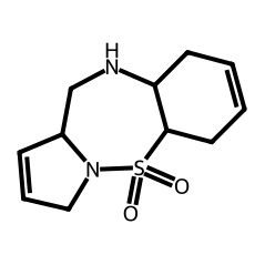 O=S1(=O)C2CC=CCC2NCC2C=CCN21